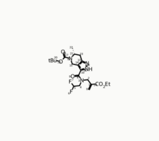 C=C(CN(CC(F)F)C(=O)c1[nH]nc2c1CN(C(=O)OC(C)(C)C)[C@H](C)C2)C(=O)OCC